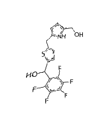 OCc1ccc(Cc2ccc(C(O)c3c(F)c(F)c(F)c(F)c3F)s2)[nH]1